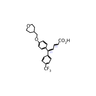 O=C(O)/C=C/C=C(\c1ccc(OCC2CCOCC2)cc1)c1ccc(C(F)(F)F)cc1